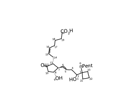 CCCCCC1(C(O)C/C=C/[C@H]2[C@H](O)CC(=O)[C@@H]2C/C=C\CCCC(=O)O)CCC1